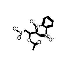 CC(=O)OC(C[N+](=O)[O-])c1c[n+]([O-])c2ccccc2[n+]1[O-]